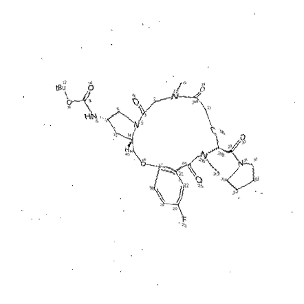 CN1CC(=O)N2C[C@@H](NC(=O)OC(C)(C)C)C[C@H]2COc2ccc(F)cc2C(=O)N(C)[C@H](C(=O)N2CCCC2)CCC1=O